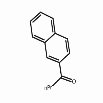 CCCC(=O)c1ccc2ccccc2c1